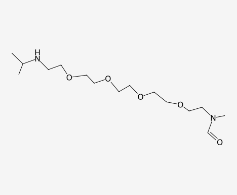 CC(C)NCCOCCOCCOCCOCCN(C)C=O